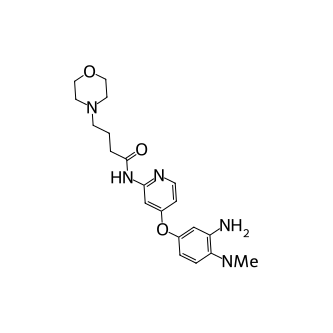 CNc1ccc(Oc2ccnc(NC(=O)CCCN3CCOCC3)c2)cc1N